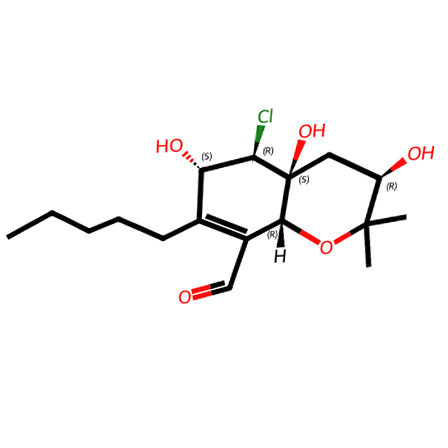 CCCCCC1=C(C=O)[C@H]2OC(C)(C)[C@H](O)C[C@@]2(O)[C@H](Cl)[C@H]1O